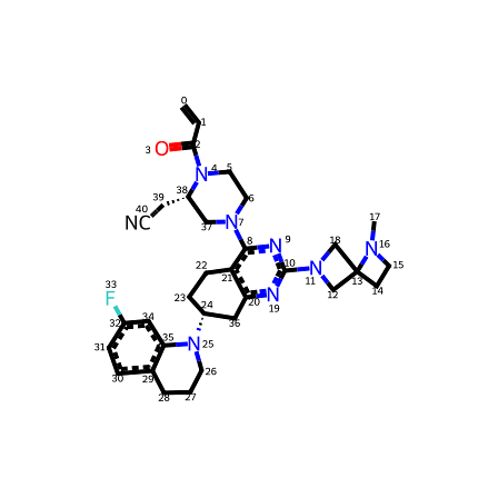 C=CC(=O)N1CCN(c2nc(N3CC4(CCN4C)C3)nc3c2CC[C@@H](N2CCCc4ccc(F)cc42)C3)C[C@@H]1CC#N